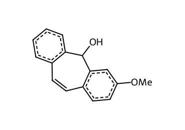 COc1ccc2c(c1)C(O)c1ccccc1C=C2